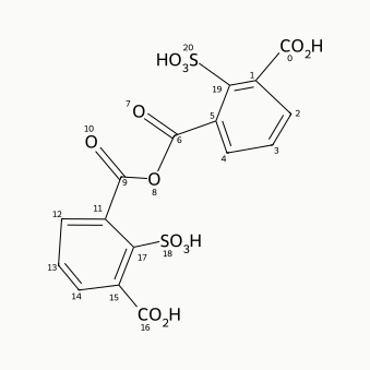 O=C(O)c1cccc(C(=O)OC(=O)c2cccc(C(=O)O)c2S(=O)(=O)O)c1S(=O)(=O)O